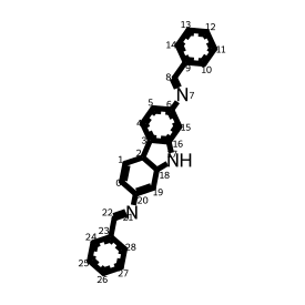 C1=CC2c3ccc(/N=C/c4ccccc4)cc3NC2C=C1/N=C/c1ccccc1